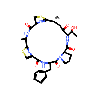 CC[C@H](C)C1CC(=O)C(C(C)O)NC(=O)C2CCCN2C(=O)C(Cc2ccccc2)NC(=O)c2csc(n2)C(C)NC(=O)C2CSC1=N2